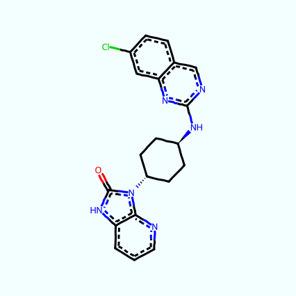 O=c1[nH]c2cccnc2n1[C@H]1CC[C@H](Nc2ncc3ccc(Cl)cc3n2)CC1